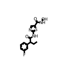 CCC(C(=O)Nc1ncc(C(=O)NO)s1)c1cccc(F)c1